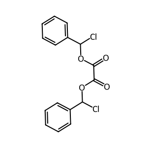 O=C(OC(Cl)c1ccccc1)C(=O)OC(Cl)c1ccccc1